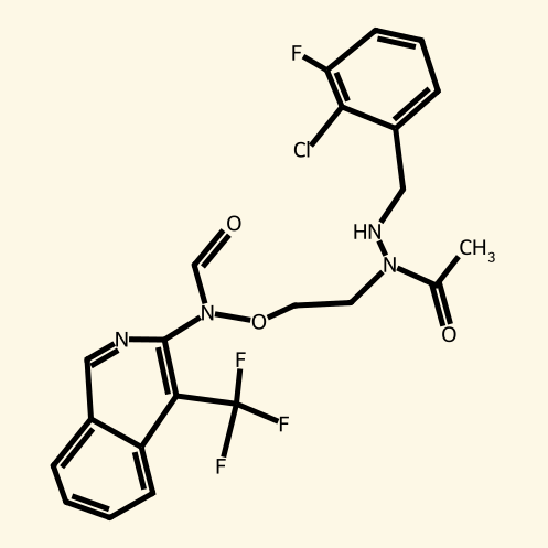 CC(=O)N(CCON(C=O)c1ncc2ccccc2c1C(F)(F)F)NCc1cccc(F)c1Cl